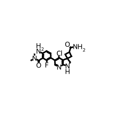 CN(C)C(=O)c1c(N)ccc(-c2cnc3c(c2Cl)C2(CN3)CC(C(N)=O)C2)c1F